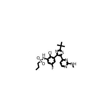 CCCS(=O)(=O)Nc1cc(F)cc(-c2nc(C(C)(C)C)sc2-c2ccnc(NC)n2)c1Cl